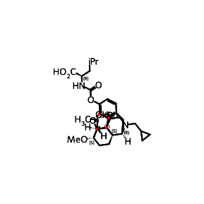 CO[C@@]12CC[C@@]3(C[C@@H]1[C@@](C)(O)C(C)(C)C)[C@H]1Cc4ccc(OC(=O)N[C@H](CC(C)C)C(=O)O)c5c4[C@@]3(CCN1CC1CC1)[C@H]2O5